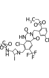 CCS(=O)(=O)c1ccc(Cl)cc1Cn1c(=O)[nH]c2c(Cl)c(CN3CC(NS(C)(=O)=O)C3I)c(C(F)(F)F)cc2c1=O